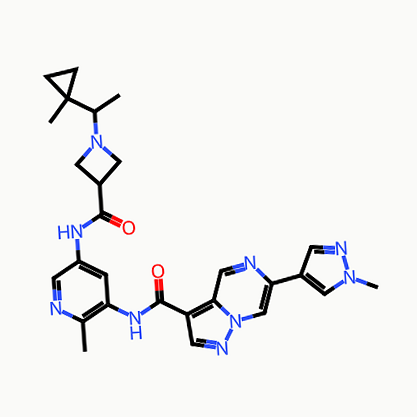 Cc1ncc(NC(=O)C2CN(C(C)C3(C)CC3)C2)cc1NC(=O)c1cnn2cc(-c3cnn(C)c3)ncc12